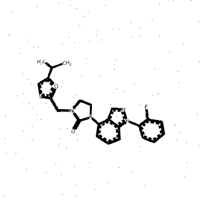 CC(C)c1cnc(CN2CCN(c3cccc4c3cnn4-c3ccccc3F)C2=O)o1